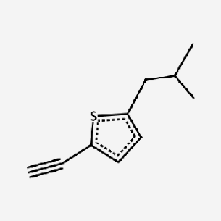 C#Cc1ccc(CC(C)C)s1